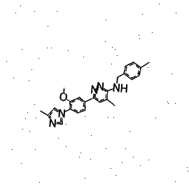 COc1cc(-c2cc(C)c(NCc3ccc(C)cc3)nn2)ccc1-n1cnc(C)c1